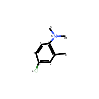 Cc1cc(Cl)ccc1N(C)C